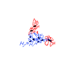 Nc1nc(N)nc(N)n1.Nc1nc(N)nc(N)n1.O=C(O)C(=O)O.O=C(O)C(=O)O.O=C(O)C(=O)O